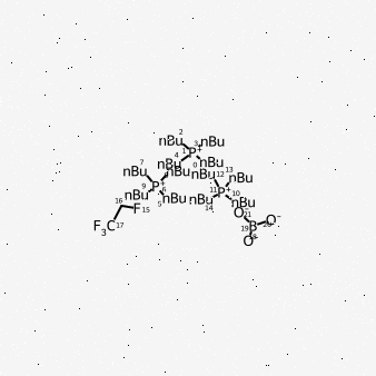 CCCC[P+](CCCC)(CCCC)CCCC.CCCC[P+](CCCC)(CCCC)CCCC.CCCC[P+](CCCC)(CCCC)CCCC.FCC(F)(F)F.[O-]B([O-])[O-]